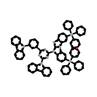 c1ccc([Si](c2ccccc2)(c2ccccc2)c2ccc3nc4n(-c5nc(-c6cccc(-n7c8ccccc8c8ccccc87)c6)nc(-n6c7ccccc7c7ccccc76)n5)c5ccc([Si](c6ccccc6)(c6ccccc6)c6ccccc6)cc5n4c3c2)cc1